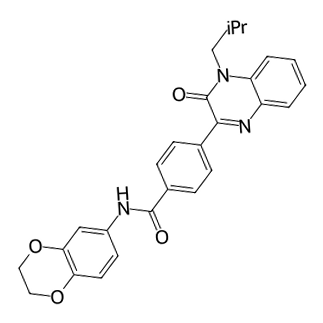 CC(C)Cn1c(=O)c(-c2ccc(C(=O)Nc3ccc4c(c3)OCCO4)cc2)nc2ccccc21